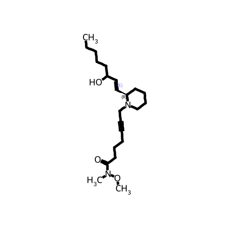 CCCCCC(O)/C=C/[C@H]1CCCCN1CC#CCCCC(=O)N(C)OC